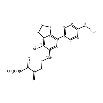 C=C(CCNc1cc(-c2ccc(OC(F)(F)F)cc2)c2c(c1C#N)CCO2)C(=O)N(C)O